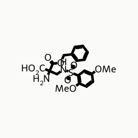 COc1ccc(OC)c(S(=O)(=O)NCC(N)(C(=O)O)C(=O)OCc2ccccc2)c1